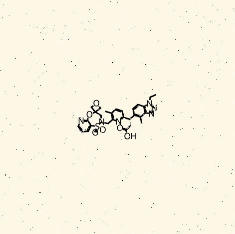 CCn1nnc2c(C)c([C@H](CC(=O)O)c3ccc(C)c(CN4CC5(COC5)Oc5ncccc5S4(=O)=O)n3)ccc21